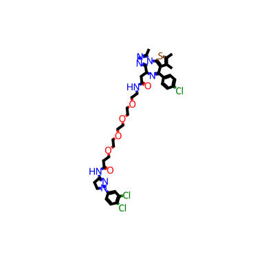 Cc1sc2c(c1C)C(c1ccc(Cl)cc1)=NC(CC(=O)NCCOCCOCCOCCOCCC(=O)NC1=NN(c3ccc(Cl)c(Cl)c3)CC1)c1nnc(C)n1-2